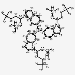 C[SiH](C)OC(CCC(C)(C)C)n1ccc2cc[c]([Bi]([c]3ccc4ccn(C(CCC(C)(C)C)O[SiH](C)C)c4c3)[c]3ccc4ccn(C(CCC(C)(C)C)O[SiH](C)C)c4c3)cc21